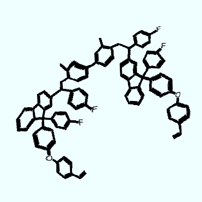 C=Cc1ccc(Oc2ccc(C3(c4ccc(F)cc4)c4ccccc4-c4ccc(C(Cc5ccc(-c6ccc(CC(c7ccc(F)cc7)c7ccc8c(c7)C(c7ccc(F)cc7)(c7ccc(Oc9ccc(C=C)cc9)cc7)c7ccccc7-8)c(C)c6)cc5C)c5ccc(F)cc5)cc43)cc2)cc1